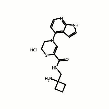 Cl.NC1(CNC(=O)C2=CN(c3ccnc4[nH]ccc34)CCS2)CCC1